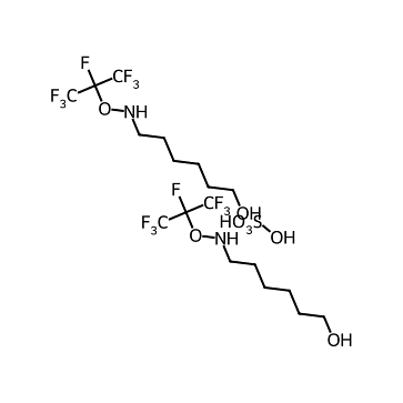 O=S(=O)(O)O.OCCCCCCNOC(F)(C(F)(F)F)C(F)(F)F.OCCCCCCNOC(F)(C(F)(F)F)C(F)(F)F